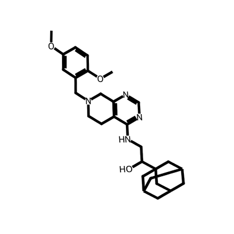 COc1ccc(OC)c(CN2CCc3c(ncnc3NCC(O)C34CC5CC(CC(C5)C3)C4)C2)c1